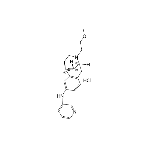 COCCN1CC[C@]23CCCC[C@H]2[C@H]1Cc1ccc(Nc2cccnc2)cc13.Cl